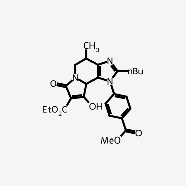 CCCCc1nc2c(n1-c1ccc(C(=O)OC)cc1)C1C(O)=C(C(=O)OCC)C(=O)N1CC2C